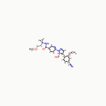 COCCC1(NC(=O)c2ccc(-n3ncc(-c4ccc(C#N)cc4OC)c3O)nc2)CC1